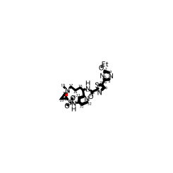 CCOc1cncc(-c2cnc(C(=O)NC(CCCN(C)C)c3cc(NS(=O)(=O)C4CC4)ccn3)s2)n1